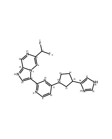 FC(F)c1cn2c(-c3nccc(N4CCC(c5c[nH]cn5)C4)n3)cnc2cn1